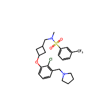 CN(CC1CC(Oc2cccc(CN3CCCC3)c2Cl)C1)S(=O)(=O)c1cccc(C(F)(F)F)c1